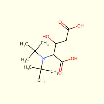 CC(C)(C)N(C(C(=O)O)C(O)CC(=O)O)C(C)(C)C